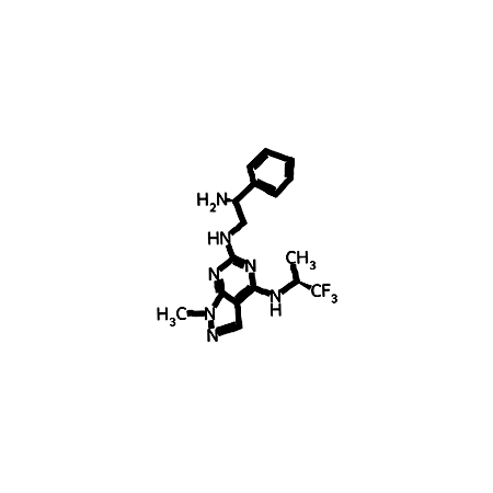 C[C@H](Nc1nc(NC[C@H](N)c2ccccc2)nc2c1cnn2C)C(F)(F)F